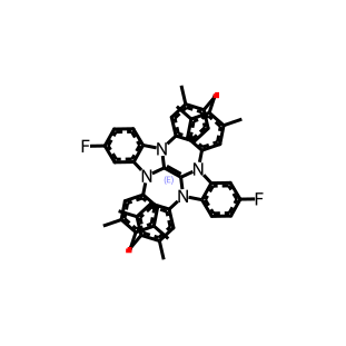 Cc1ccc(N2/C(=C3/N(c4cc(C)c(C)c(C)c4)c4ccc(F)cc4N3c3cc(C)c(C)c(C)c3)N(c3cc(C)c(C)c(C)c3)c3cc(F)ccc32)cc1C